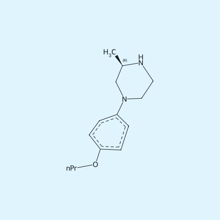 CCCOc1ccc(N2CCN[C@H](C)C2)cc1